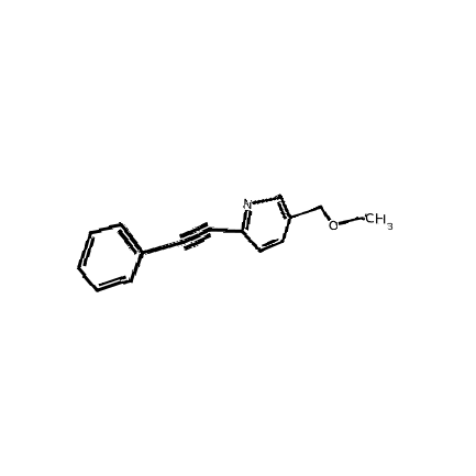 COCc1ccc(C#Cc2ccccc2)nc1